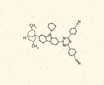 C[C@@H]1C[C@@H]2C[C@H](C)CC(c3ccc4c5ccc(-c6nc(-c7ccc(C#N)cc7)nc(-c7ccc(C#N)cc7)n6)cc5n(-c5ccccc5)c4c3)(C1)C2